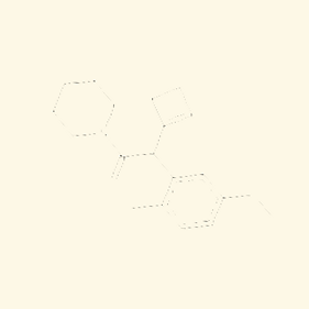 COc1ccc(C)c(C(C(=O)N2CCCCC2)C2=CCC2)c1